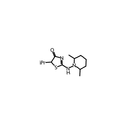 CC(C)C1SC(NN2C(C)CCCC2C)=NC1=O